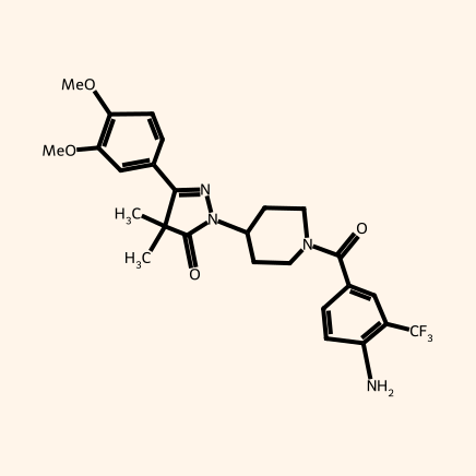 COc1ccc(C2=NN(C3CCN(C(=O)c4ccc(N)c(C(F)(F)F)c4)CC3)C(=O)C2(C)C)cc1OC